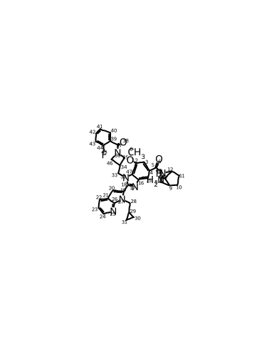 COc1cc(C(=O)N2CC3CCC2[C@@H]3N)cc2nc(-c3cc4cccnc4n3CC3CC3)n(CC3CN(C(=O)c4ccccc4F)C3)c12